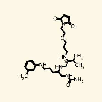 [CH2]c1cccc(NCCCC(CNC(N)=O)NC[C@@H](NCCCOCCN2C(=O)C=CC2=O)C(C)C)c1